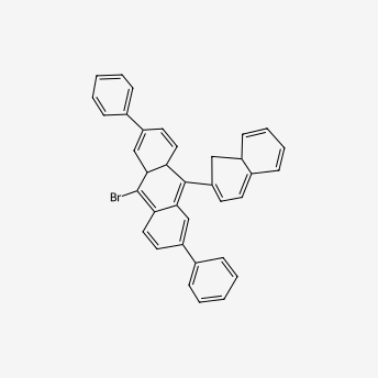 BrC1=c2ccc(-c3ccccc3)cc2=C(C2=CC=C3C=CC=CC3C2)C2C=CC(c3ccccc3)=CC12